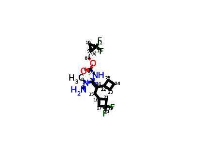 CN(N)/C(NC(=O)OC[C@@H]1CC1(F)F)=C(\CC1CC(F)(F)C1)C1CCC1